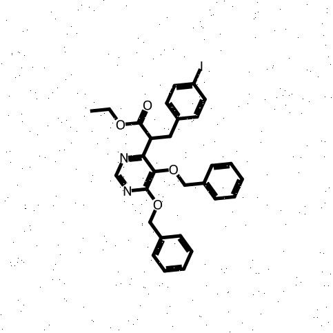 CCOC(=O)C(Cc1ccc(I)cc1)c1ncnc(OCc2ccccc2)c1OCc1ccccc1